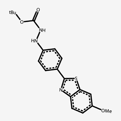 COc1ccc2nc(-c3ccc(NNC(=O)OC(C)(C)C)cc3)sc2c1